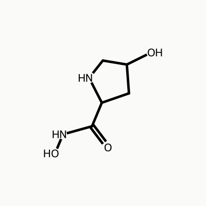 O=C(NO)C1CC(O)CN1